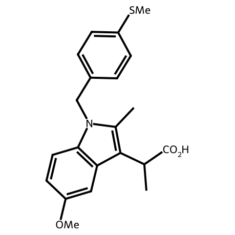 COc1ccc2c(c1)c(C(C)C(=O)O)c(C)n2Cc1ccc(SC)cc1